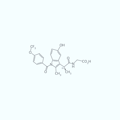 Cc1c([C@H](C)C(=O)NCC(=O)O)c2cc(O)ccc2n1C(=O)c1ccc(OC(F)(F)F)cc1